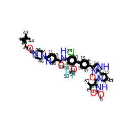 COC(=O)N[C@H](C(=O)N1C[C@@H](C)C[C@H]1c1nc(-c2ccc(-c3cc(Cl)c(NC(=O)c4ccc(N5CCN(COC[C@H]6CC6(C)C)CC5)nc4)cc3OC(F)(F)F)cc2)c[nH]1)C(C)C